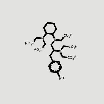 O=C(O)CN(CC(=O)O)C(Cc1ccc([N+](=O)[O-])cc1)CN(CC(=O)O)C1CCCCC1N(CC(=O)O)CC(=O)O